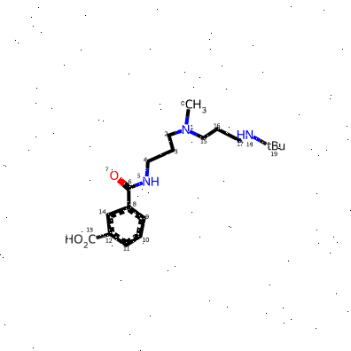 CN(CCCNC(=O)c1cccc(C(=O)O)c1)CCCNC(C)(C)C